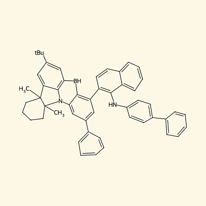 CC(C)(C)c1cc2c3c(c1)C1(C)CCCCC1(C)N3c1cc(-c3ccccc3)cc(-c3ccc4ccccc4c3Nc3ccc(-c4ccccc4)cc3)c1B2